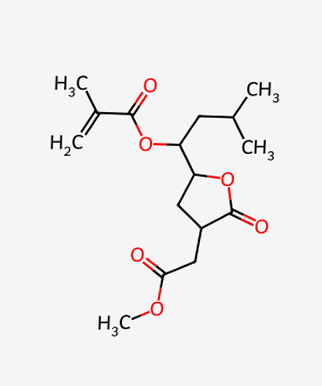 C=C(C)C(=O)OC(CC(C)C)C1CC(CC(=O)OC)C(=O)O1